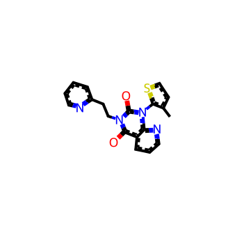 Cc1ccsc1-n1c(=O)n(CCc2ccccn2)c(=O)c2cccnc21